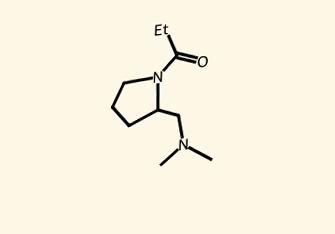 CCC(=O)N1CCCC1CN(C)C